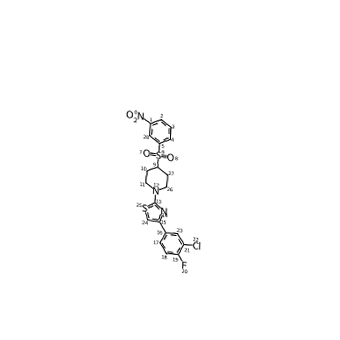 O=[N+]([O-])c1cccc(S(=O)(=O)C2CCN(c3nc(-c4ccc(F)c(Cl)c4)cs3)CC2)c1